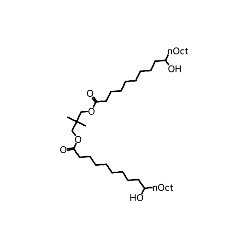 CCCCCCCCC(O)CCCCCCCCC(=O)OCC(C)(C)COC(=O)CCCCCCCCC(O)CCCCCCCC